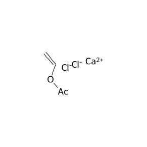 C=COC(C)=O.[Ca+2].[Cl-].[Cl-]